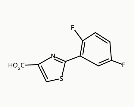 O=C(O)c1csc(-c2cc(F)ccc2F)n1